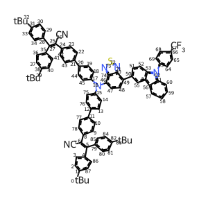 CC(C)(C)c1ccc(C(=C(C#N)c2ccc(-c3ccc(N(c4ccc(-c5ccc(C(C#N)=C(c6ccc(C(C)(C)C)cc6)c6ccc(C(C)(C)C)cc6)cc5)cc4)c4ccc(-c5ccc6c(c5)c5ccccc5n6-c5ccc(C(F)(F)F)cc5)c5nsnc45)cc3)cc2)c2ccc(C(C)(C)C)cc2)cc1